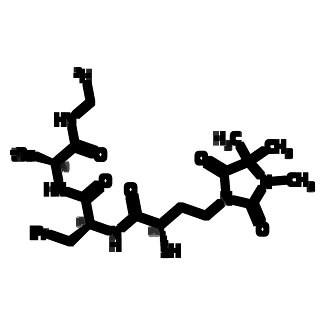 [2H]CNC(=O)[C@@H](NC(=O)[C@H](CC(C)C)NC(=O)[C@@H](S)CCN1C(=O)N(C)C(C)(C)C1=O)C(C)(C)C